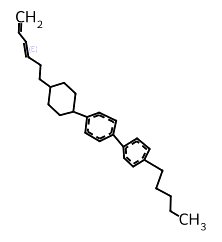 C=C/C=C/CCC1CCC(c2ccc(-c3ccc(CCCCC)cc3)cc2)CC1